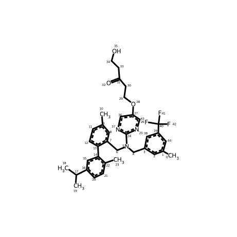 Cc1cc(CN(Cc2cc(C)ccc2-c2cc(C(C)C)ccc2C)c2ncc(OCCC(=O)CCO)cn2)cc(C(F)(F)F)c1